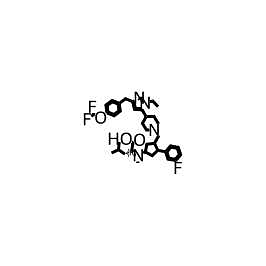 CCn1nc(Cc2ccc(OC(F)F)cc2)cc1C1CCN(CC2CC(N(C)[C@H](CC(C)C)C(=O)O)CC2c2cccc(F)c2)CC1